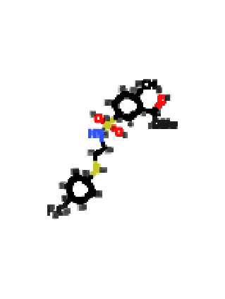 COC(=O)c1cc(S(=O)(=O)NCCSc2ccc(C(F)(F)F)cc2)ccc1C